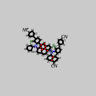 N#Cc1ccc(-c2ccc(-c3ccc(C#N)cc3)c(N(c3ccccc3)c3ccc4ccc5c(N(c6ccccc6)c6c(-c7ccc(C#N)cc7)ccc(-c7ccc(C#N)cc7)c6F)ccc6ccc3c4c65)c2F)cc1